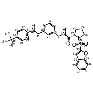 O=C(NCc1cccc(CNc2ccc(C(F)(F)F)cn2)c1)[C@@H]1CCCN1S(=O)(=O)c1cc2ccccc2o1